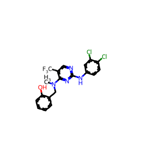 CN(Cc1ccccc1O)c1nc(Nc2ccc(Cl)c(Cl)c2)ncc1C(F)(F)F